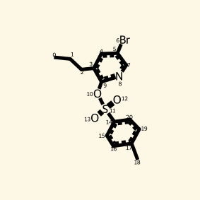 CCCc1cc(Br)cnc1OS(=O)(=O)c1ccc(C)cc1